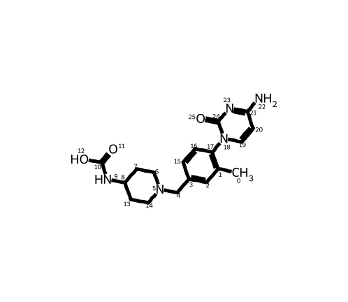 Cc1cc(CN2CCC(NC(=O)O)CC2)ccc1-n1ccc(N)nc1=O